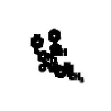 Cn1nnc2cc(CNC(=O)C3CC(Cc4ccncc4)CN3C(=O)C3CC(c4ccccc4)CN3)ccc21